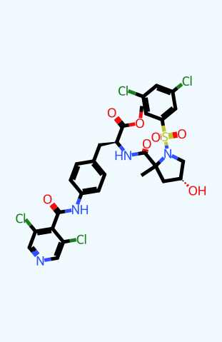 COC(=O)[C@H](Cc1ccc(NC(=O)c2c(Cl)cncc2Cl)cc1)NC(=O)C1(C)C[C@@H](O)CN1S(=O)(=O)c1cc(Cl)cc(Cl)c1